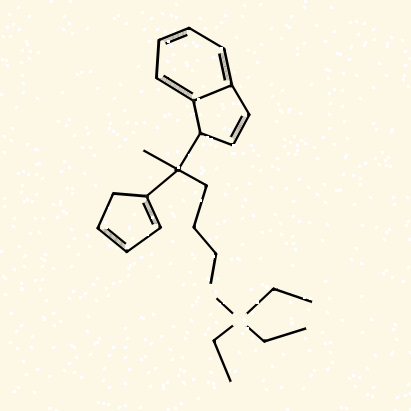 CC[Si](CC)(CC)OCCCC(C)(C1=CC=CC1)C1C=Cc2ccccc21